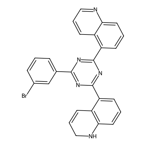 Brc1cccc(-c2nc(-c3cccc4c3C=CCN4)nc(-c3cccc4ncccc34)n2)c1